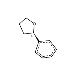 c1ccc([C@H]2CCCO2)cc1